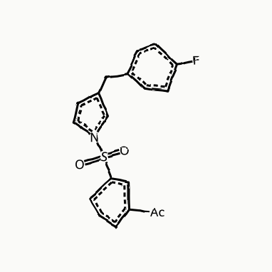 CC(=O)c1cccc(S(=O)(=O)n2ccc(Cc3ccc(F)cc3)c2)c1